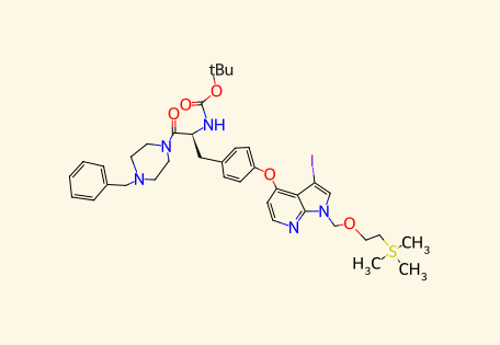 CC(C)(C)OC(=O)N[C@@H](Cc1ccc(Oc2ccnc3c2c(I)cn3COCCS(C)(C)C)cc1)C(=O)N1CCN(Cc2ccccc2)CC1